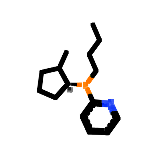 CCCCP(c1ccccn1)[C@@H]1CCCC1C